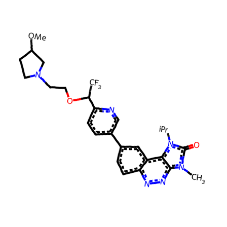 COC1CCN(CCOC(c2ccc(-c3ccc4nnc5c(c4c3)n(C(C)C)c(=O)n5C)cn2)C(F)(F)F)C1